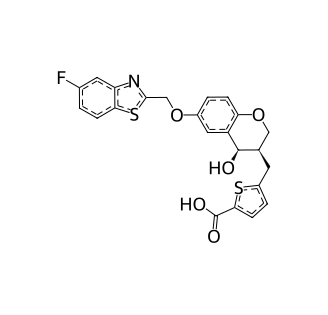 O=C(O)c1ccc(C[C@@H]2COc3ccc(OCc4nc5cc(F)ccc5s4)cc3[C@@H]2O)s1